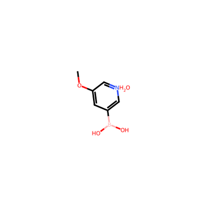 COc1cncc(B(O)O)c1.O